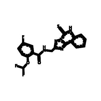 O=C(NCc1nc2c3ccccc3[nH]c(=S)n2n1)c1cc(F)ccc1OC(F)F